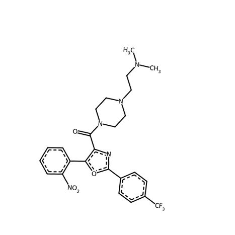 CN(C)CCN1CCN(C(=O)c2nc(-c3ccc(C(F)(F)F)cc3)oc2-c2ccccc2[N+](=O)[O-])CC1